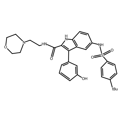 CC(C)(C)c1ccc(S(=O)(=O)Nc2ccc3[nH]c(C(=O)NCCN4CCOCC4)c(-c4cccc(O)c4)c3c2)cc1